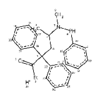 CCC(=O)C(CC(C)N(C)Pc1ccccc1)(c1ccccc1)c1ccccc1.[H+]